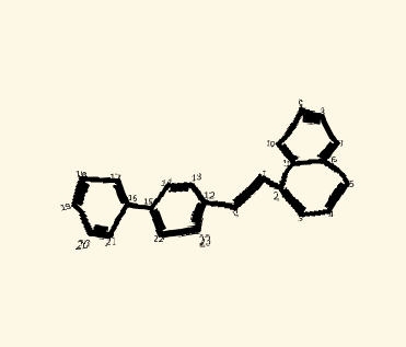 C(=Cc1cccc2ccccc12)c1ccc(-c2ccccc2)cc1